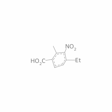 CCc1ccc(C(=O)O)c(C)c1[N+](=O)[O-]